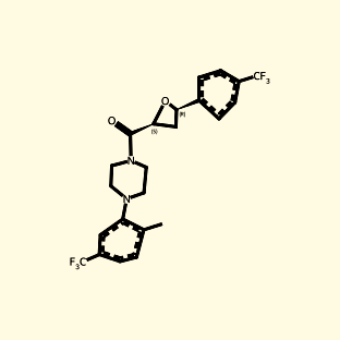 Cc1ccc(C(F)(F)F)cc1N1CCN(C(=O)[C@@H]2C[C@H](c3ccc(C(F)(F)F)cc3)O2)CC1